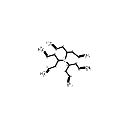 C=CC[CH](CC=C)[Cr]([CH](CC=C)CC=C)[CH](CC=C)CC=C